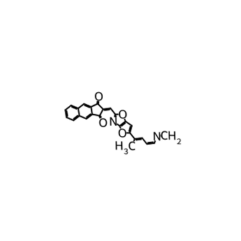 C=N/C=C\C=C(/C)c1cc2oc(C=C3C(=O)c4cc5ccccc5cc4C3=O)nc2o1